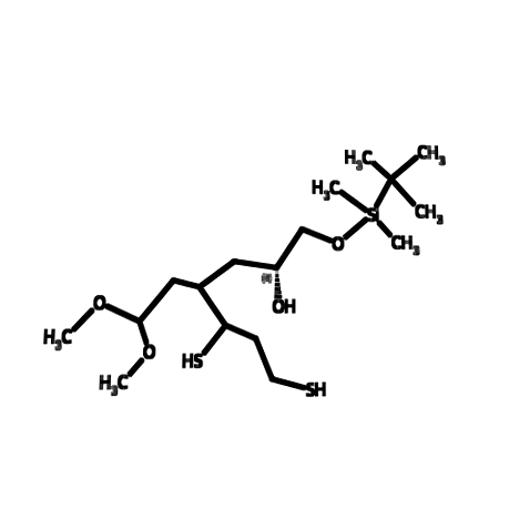 COC(CC(C[C@@H](O)CO[Si](C)(C)C(C)(C)C)C(S)CCS)OC